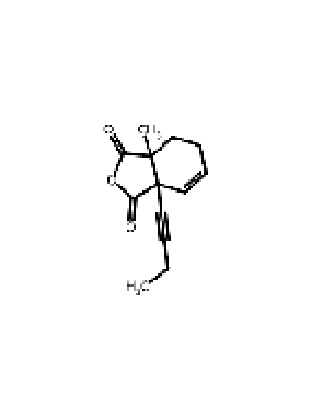 CCC#CC12C=CCCC1(C)C(=O)OC2=O